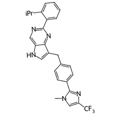 CC(C)c1ccccc1-c1ncc2[nH]cc(Cc3ccc(-c4nc(C(F)(F)F)cn4C)cc3)c2n1